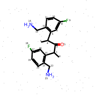 CC(C(=O)C(C)c1cc(F)ccc1CN)c1cc(F)ccc1CN